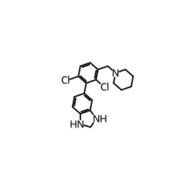 Clc1ccc(CN2CCCCC2)c(Cl)c1-c1ccc2c(c1)NCN2